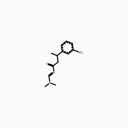 CC(CC(=O)N=CN(C)C)c1cccc([N+](=O)[O-])c1